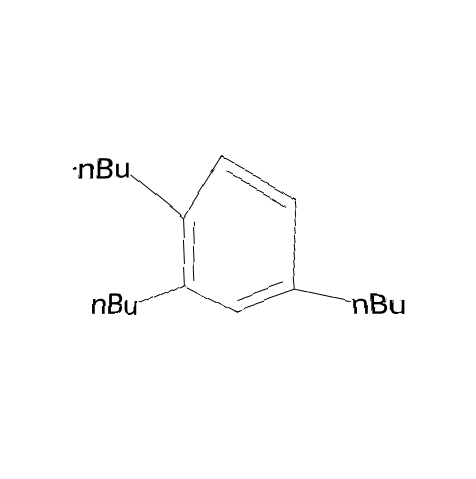 CCC[CH]c1ccc(CCCC)cc1CCCC